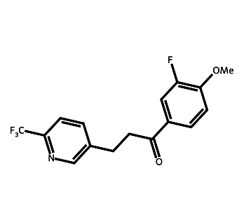 COc1ccc(C(=O)CCc2ccc(C(F)(F)F)nc2)cc1F